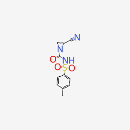 Cc1ccc(S(=O)(=O)NC(=O)N2CC2C#N)cc1